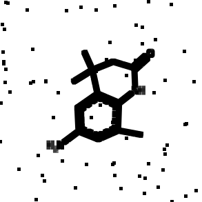 Cc1cc(N)cc2c1NC(=O)CC2(C)C